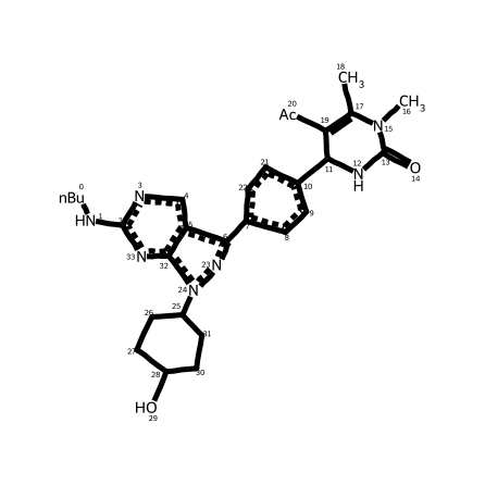 CCCCNc1ncc2c(-c3ccc(C4NC(=O)N(C)C(C)=C4C(C)=O)cc3)nn(C3CCC(O)CC3)c2n1